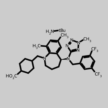 CC(C)(C)N.Cc1cc(C)c2c(c1)[C@@H](N(Cc1cc(C(F)(F)F)cc(C(F)(F)F)c1)c1nnn(C)n1)CCCN2CC1CCC(C(=O)O)CC1